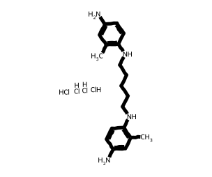 Cc1cc(N)ccc1NCCCCCNc1ccc(N)cc1C.Cl.Cl.Cl.Cl